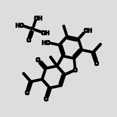 CC(=O)c1c(O)c(C)c(O)c2c1OC1=CC(=O)C(C(C)=O)C(=O)C12C.O=P(O)(O)O